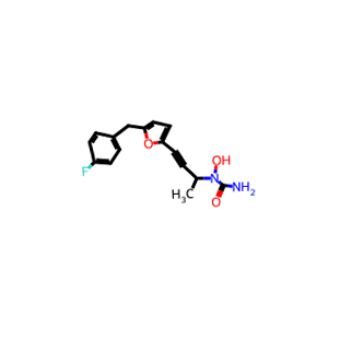 CC(C#Cc1ccc(Cc2ccc(F)cc2)o1)N(O)C(N)=O